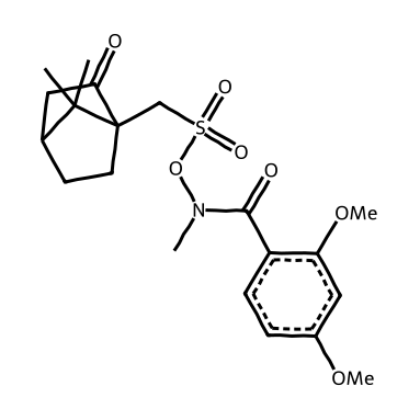 COc1ccc(C(=O)N(C)OS(=O)(=O)CC23CCC(CC2=O)C3(C)C)c(OC)c1